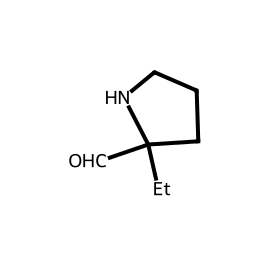 CCC1(C=O)CCCN1